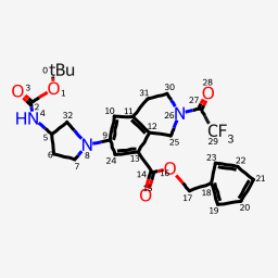 CC(C)(C)OC(=O)NC1CCN(c2cc3c(c(C(=O)OCc4ccccc4)c2)CN(C(=O)C(F)(F)F)CC3)C1